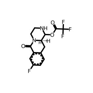 O=C1c2cc(F)ccc2C[C@@H]2C(OC(=O)C(F)(F)F)NCCN12